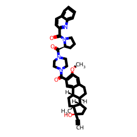 C#C[C@@]1(O)CC[C@H]2[C@@H]3CCc4cc(OC)c(C(=O)N5CCN(C(=O)[C@@H]6CCCN6C(=O)c6ccc7ccccc7n6)CC5)cc4[C@H]3CC[C@@]21C